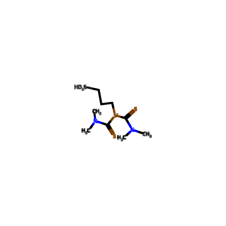 CN(C)C(=S)[S+](CCCS(=O)(=O)O)C(=S)N(C)C